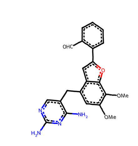 COc1cc(Cc2cnc(N)nc2N)c2cc(-c3ccccc3C=O)oc2c1OC